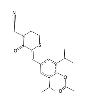 CC(=O)Oc1c(C(C)C)cc(C=C2SCCN(CC#N)C2=O)cc1C(C)C